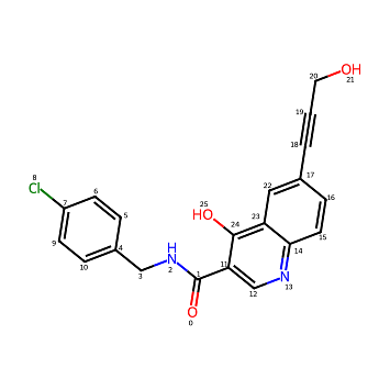 O=C(NCc1ccc(Cl)cc1)c1cnc2ccc(C#CCO)cc2c1O